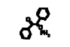 O=C(C(=O)c1ccccc1)c1ccccc1.P